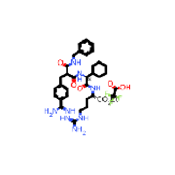 CCOC(=O)[C@H](CCCNC(=N)N)NC(=O)[C@@H](NC(=O)C(Cc1ccc(C(=N)N)cc1)C(=O)NCc1ccccc1)C1CCCCC1.O=C(O)C(F)(F)F